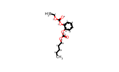 BCOC(=O)Oc1ccccc1OC(=O)OCCCCC